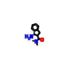 CN(C)C(=O)C1Cc2ccccc2[C@H]1N